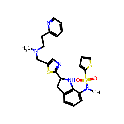 CN(CCc1ccccn1)Cc1cnc(C2Cc3cccc(N(C)S(=O)(=O)c4cccs4)c3N2)s1